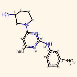 CCCCc1cc(N2CCCC(N)C2)nc(Nc2cccc([N+](=O)[O-])c2)n1